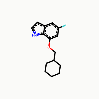 Fc1cc(OCC2CCCCC2)c2[nH]ccc2c1